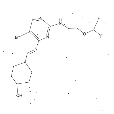 OC1CCC(/C=N/c2nc(NCCOC(F)F)ncc2Br)CC1